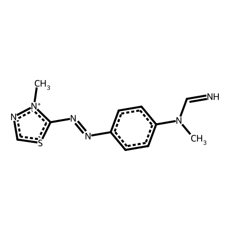 CN(C=N)c1ccc(N=Nc2scn[n+]2C)cc1